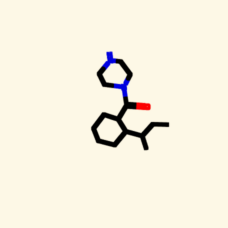 CCC(C)C1CCCCC1C(=O)N1CCNCC1